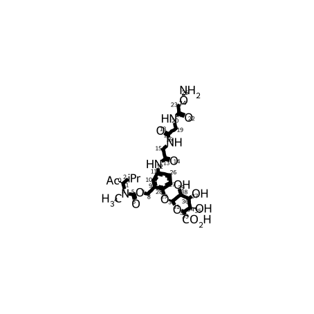 CC(=O)[C@H](C(C)C)N(C)C(=O)OCc1cc(NC(=O)CNC(=O)CNC(=O)CON)ccc1O[C@@H]1OC(C(=O)O)[C@@H](O)C(O)C1O